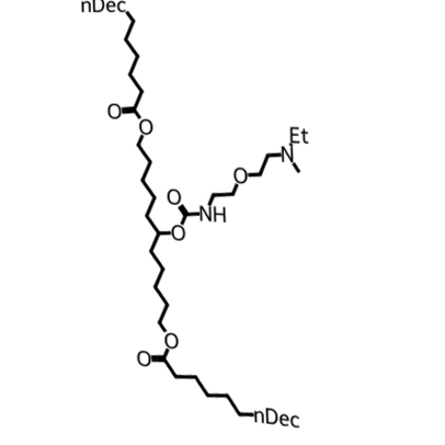 CCCCCCCCCCCCCCCC(=O)OCCCCCC(CCCCCOC(=O)CCCCCCCCCCCCCCC)OC(=O)NCCOCCN(C)CC